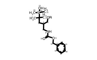 CC(C)(CC(CO)CNC(=O)OCc1ccccc1)[Si](C)(C)O